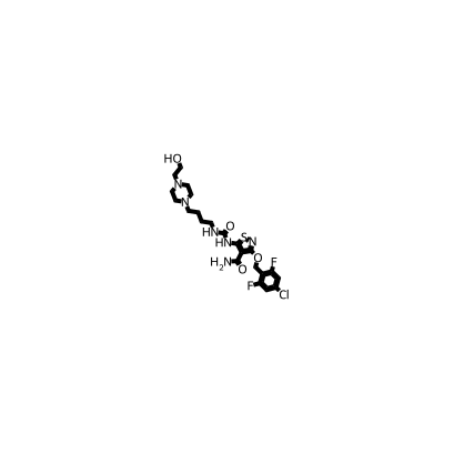 NC(=O)c1c(OCc2c(F)cc(Cl)cc2F)nsc1NC(=O)NCCCCN1CCN(CCO)CC1